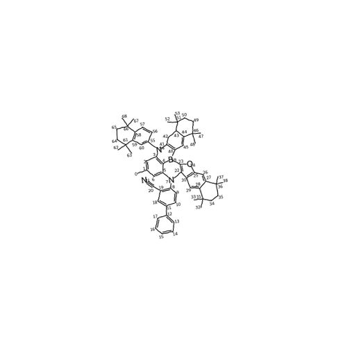 Cc1cc2c3c(c1)N(c1ccc(-c4ccccc4)cc1C#N)c1c(oc4cc5c(cc14)C(C)(C)CCC5(C)C)B3C1=C(CC3C(=C1)C(C)(C)CCC3(C)C)N2c1ccc2c(c1)C(C)(C)CCC2(C)C